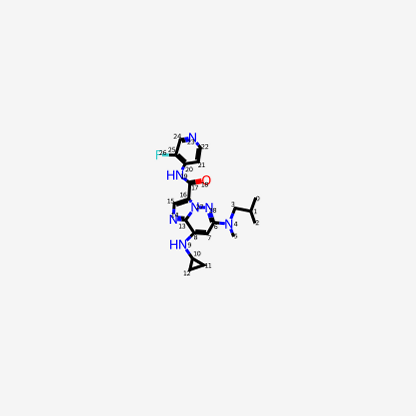 CC(C)CN(C)c1cc(NC2CC2)c2ncc(C(=O)Nc3ccncc3F)n2n1